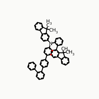 CC1(C)c2ccccc2-c2ccc(N(c3ccc(-c4ccc(-c5ccccc5-c5ccccc5)cc4)cc3)c3ccccc3-c3cccc4c3C(C)(C)c3ccccc3-4)cc21